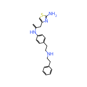 C=C(Cc1csc(N)n1)Nc1ccc(CCNCCc2ccccc2)cc1